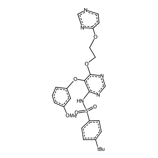 COc1cccc(Oc2c(NS(=O)(=O)c3ccc(C(C)(C)C)cc3)ncnc2OCCOc2ccncn2)c1